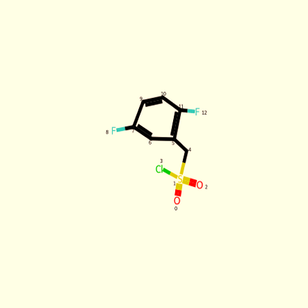 O=S(=O)(Cl)Cc1cc(F)ccc1F